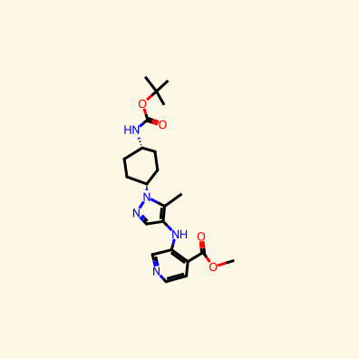 COC(=O)c1ccncc1Nc1cnn([C@H]2CC[C@@H](NC(=O)OC(C)(C)C)CC2)c1C